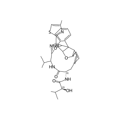 Cc1csc(-c2nc3oc2C24c5ccccc5NC2Oc2ccc(cc24)C[C@H](NC(=O)[C@@H](O)C(C)C)C(=O)NC3C(C)C)n1